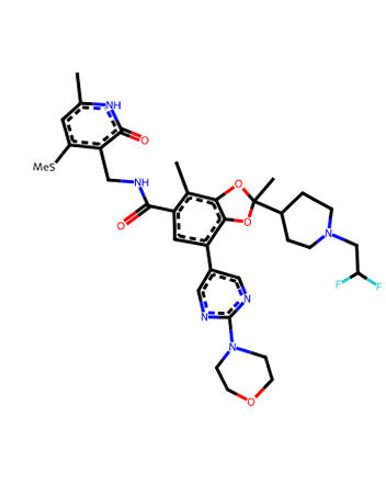 CSc1cc(C)[nH]c(=O)c1CNC(=O)c1cc(-c2cnc(N3CCOCC3)nc2)c2c(c1C)OC(C)(C1CCN(CC(F)F)CC1)O2